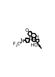 CC#C[C@]1(O)CC[C@H]2[C@@H]3CCC4=CC(=O)CC[C@]4(C)[C@H]3[C@@H](c3ccc(N(C)CC(F)(F)F)cc3)C[C@@]21C